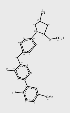 COc1ccc(F)c(-c2ccc(Cc3ccc(N4CC(C#N)CC4CC(=O)O)cc3)c(C)c2)c1